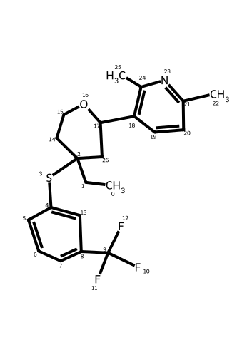 CCC1(Sc2cccc(C(F)(F)F)c2)CCOC(c2ccc(C)nc2C)C1